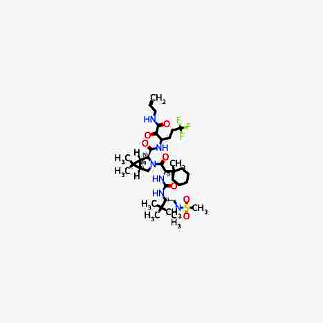 C=CCNC(=O)C(=O)C(CCC(F)(F)F)NC(=O)[C@@H]1[C@@H]2[C@H](CN1C(=O)[C@@H](NC(=O)N[C@H](CN(C)S(C)(=O)=O)C(C)(C)C)C1(C)CCCCC1)C2(C)C